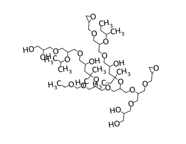 CCOCOCC(COCC(COC(COCC(O)CO)COCC1CO1)OC(C)(CC)CC(O)COCC(COCC1CO1)OC(C)CC)OC(C)(C)CC(O)COCC(COCC(O)CO)OC(C)C